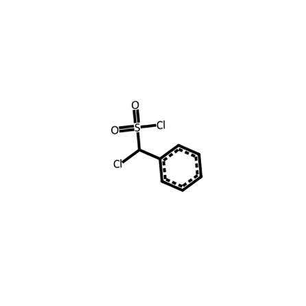 O=S(=O)(Cl)C(Cl)c1ccccc1